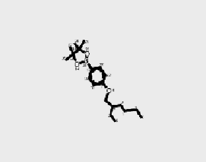 CCCCC(CC)COc1ccc(B2OC(C)(C)C(C)(C)O2)cc1